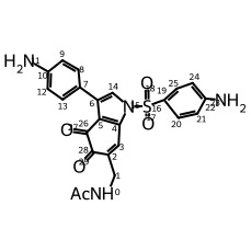 CC(=O)NCC1=Cc2c(c(-c3ccc(N)cc3)cn2S(=O)(=O)c2ccc(N)cc2)C(=O)C1=O